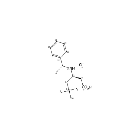 C[C@@H](N[C@@H](CC(=O)O)C[N+](C)(C)C)c1ccccc1.[Cl-]